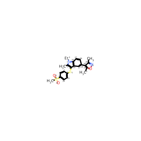 CCn1c(C)c(Sc2ccc(S(C)(=O)=O)cc2)c2cc(-c3c(C)noc3C)ccc21